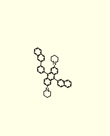 c1cc(-c2ccc3ccccc3c2)cc(-c2c3ccc(N4CCCCC4)cc3c(-c3ccc4ccccc4c3)c3ccc(N4CCCCC4)cc23)c1